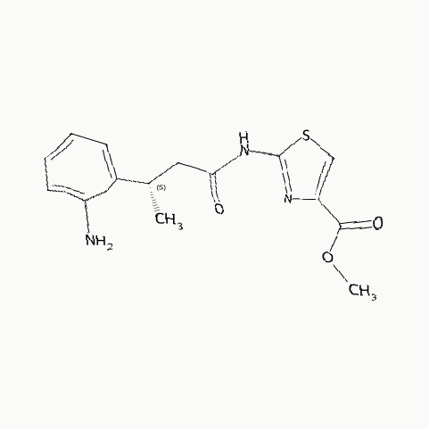 COC(=O)c1csc(NC(=O)C[C@H](C)c2ccccc2N)n1